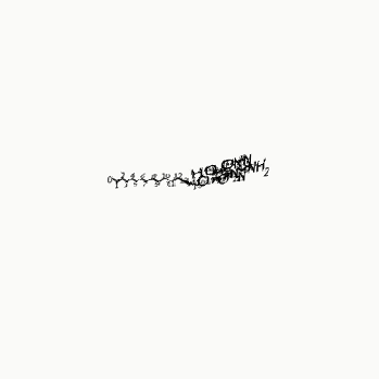 CCCCCCCCCCCCCC#CCOC[C@H]1O[C@@H](n2cnc3c(N)ncnc32)[C@H](O)[C@@H]1O